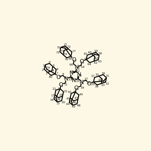 C1C2CC3CC1CC(OCN(COC14CC5CC(CC(C5)C1)C4)c1nc(N(COC45CC6CC(CC(C6)C4)C5)COC45CC6CC(CC(C6)C4)C5)nc(N(COC45CC6CC(CC(C6)C4)C5)COC45CC6CC(CC(C6)C4)C5)n1)(C2)C3